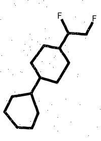 FCC(F)C1CCC(C2CCCCC2)CC1